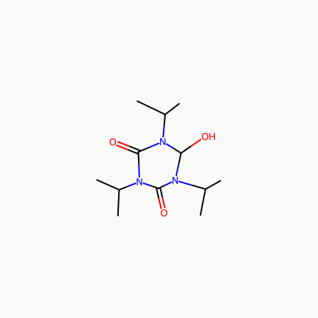 CC(C)N1C(=O)N(C(C)C)C(O)N(C(C)C)C1=O